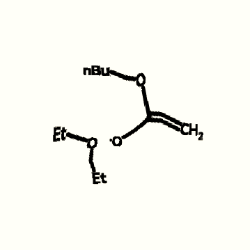 C=C([O])OCCCC.CCOCC